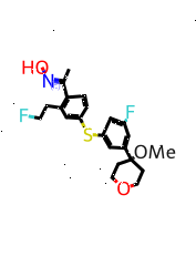 COC1(c2cc(F)cc(Sc3ccc(/C(C)=N/O)c(CCF)c3)c2)CCOCC1